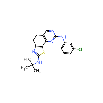 CC(C)(C)Nc1nc2c(s1)-c1nc(Nc3cccc(Cl)c3)ncc1CC2